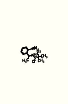 CC(N[S@@+]([O-])C(C)(C)C)c1ccccc1C#N